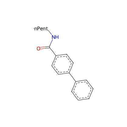 [CH2]CCC[CH]NC(=O)c1ccc(-c2ccccc2)cc1